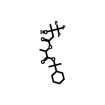 CC(OC(=O)CC(C)(O)C(F)(F)F)C(=O)OC(C)(C)C1CCCCC1